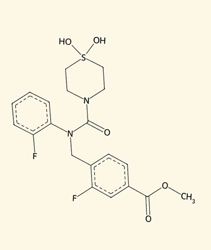 COC(=O)c1ccc(CN(C(=O)N2CCS(O)(O)CC2)c2ccccc2F)c(F)c1